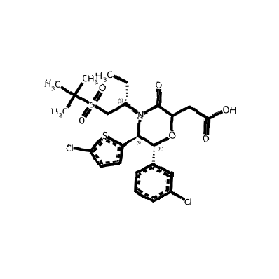 CC[C@@H](CS(=O)(=O)C(C)(C)C)N1C(=O)C(CC(=O)O)O[C@H](c2cccc(Cl)c2)[C@H]1c1ccc(Cl)s1